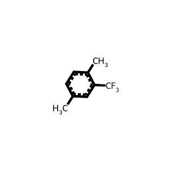 Cc1ccc(C)c(C(F)(F)F)c1